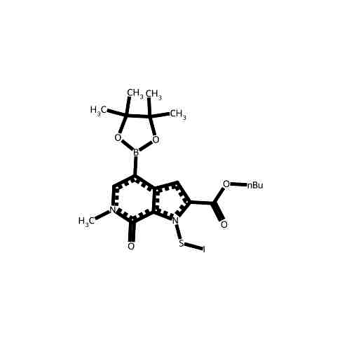 CCCCOC(=O)c1cc2c(B3OC(C)(C)C(C)(C)O3)cn(C)c(=O)c2n1SI